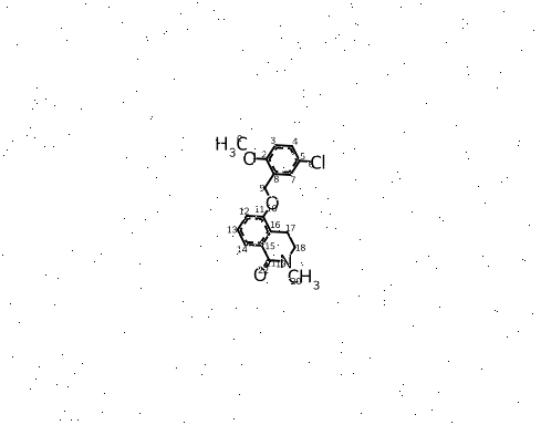 COc1ccc(Cl)cc1COc1cccc2c1CCN(C)C2=O